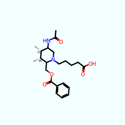 CC(=O)NC1CN(CCCCC(=O)O)C(COC(=O)c2ccccc2)[C@H](C)[C@@H]1C